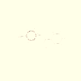 CCOC(Oc1ccc(C(C)CC)cc1)C1CCCCC1